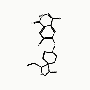 CC[C@H](N)[C@]1(C(C)C)CC[C@@H](Oc2cc3c(Br)c[nH]c(=O)c3cc2Cl)CC1